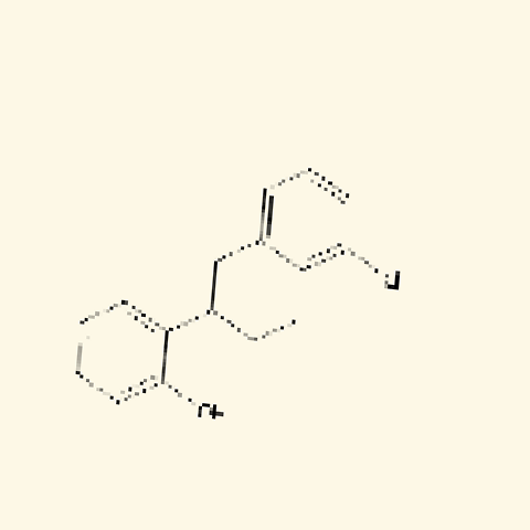 Oc1ccccc1C1[CH]Cc2c(Cl)cccc2C1